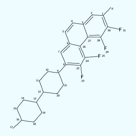 Cc1cc2ccc3cc(C4CCC(C5CCC(C)CC5)CC4)c(F)c(F)c3c2c(F)c1F